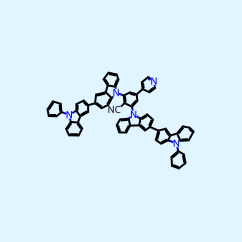 N#Cc1c(-n2c3ccccc3c3cc(-c4ccc5c(c4)c4ccccc4n5-c4ccccc4)ccc32)cc(-c2ccncc2)cc1-n1c2ccccc2c2cc(-c3ccc4c(c3)c3ccccc3n4-c3ccccc3)ccc21